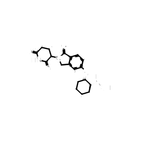 CN[C@@H]1CCCC[C@@H]1Oc1ccc2c(c1)CN(C1CCC(=O)NC1=O)C2=O